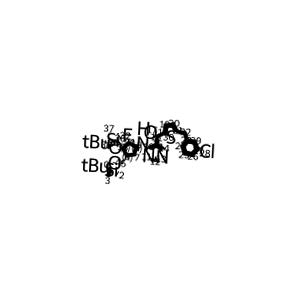 CC(C)(C)[Si](C)(C)OC[C@H]1C[C@@H](Nc2ncncc2C(=O)c2ccc(Cc3cccc(Cl)c3)s2)[C@@H](F)[C@@H]1O[Si](C)(C)C(C)(C)C